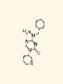 NN(Cc1ccccc1)c1ncn(-c2cccnc2)c(=O)n1